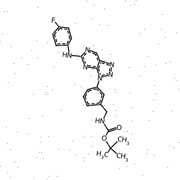 CC(C)(C)OC(=O)NCc1cccc(-n2nnc3cnc(Nc4ccc(F)cc4)nc32)c1